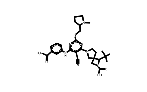 CN1CCCC1COc1nc(Nc2cccc(C(N)=O)c2)c(C#N)c(N2CCC3(C2)CN(C(=O)O)C3C(C)(C)C)n1